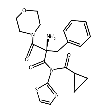 N[C@](Cc1ccccc1)(C(=O)N1CCOCC1)C(=O)N(C(=O)C1CC1)c1nccs1